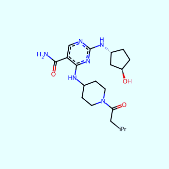 CC(C)CC(=O)N1CCC(Nc2nc(N[C@@H]3CC[C@@H](O)C3)ncc2C(N)=O)CC1